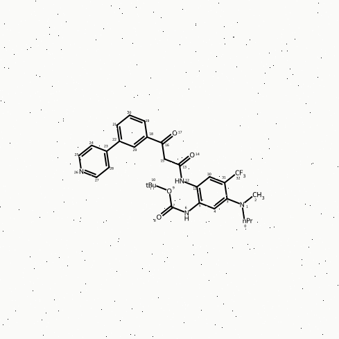 CCCN(C)c1cc(NC(=O)OC(C)(C)C)c(NC(=O)CC(=O)c2cccc(-c3ccncc3)c2)cc1C(F)(F)F